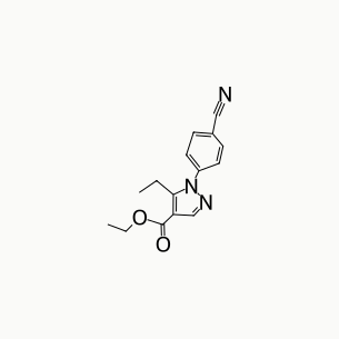 CCOC(=O)c1cnn(-c2ccc(C#N)cc2)c1CC